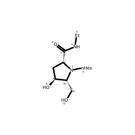 CCCCCCN1[C@@H](C(=O)NCC)C[C@H](O)[C@H]1CO